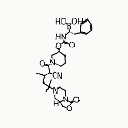 CC(CC(C)(C)N1CCN2C(=O)OC[C@@H]2C1)C(C#N)C(=O)N1CCC[C@H](OC(=O)N[C@@H](Cc2ccccc2)B(O)O)C1